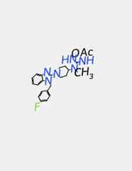 CC(=O)ONC(=N)N(C)C1CCN(c2nc3ccccc3n2Cc2ccc(F)cc2)CC1